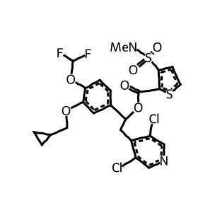 CNS(=O)(=O)c1ccsc1C(=O)OC(Cc1c(Cl)cncc1Cl)c1ccc(OC(F)F)c(OCC2CC2)c1